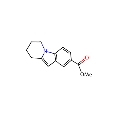 COC(=O)c1ccc2c(c1)cc1n2CCCC1